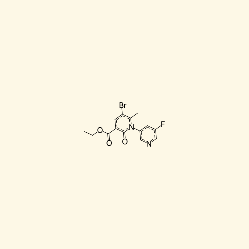 CCOC(=O)c1cc(Br)c(C)n(-c2cncc(F)c2)c1=O